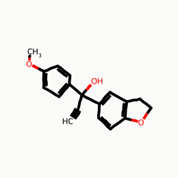 C#CC(O)(c1ccc(OC)cc1)c1ccc2c(c1)CCO2